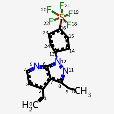 C=Cc1ccnc2c1c(CC)nn2-c1ccc(S(F)(F)(F)(F)F)cc1